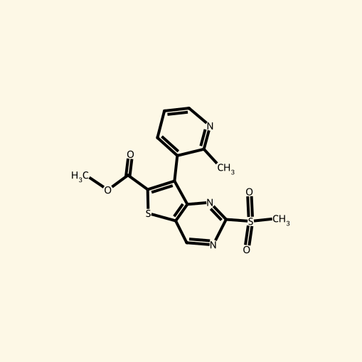 COC(=O)c1sc2cnc(S(C)(=O)=O)nc2c1-c1cccnc1C